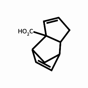 O=C(O)C12C=CCC1C1C=CC2C1